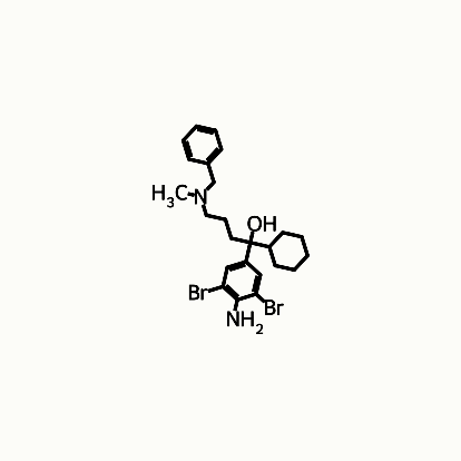 CN(CCCC(O)(c1cc(Br)c(N)c(Br)c1)C1CCCCC1)Cc1ccccc1